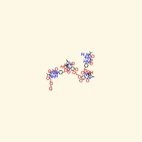 C=C1C[C@H]2[C@H](O)N(C(=O)OCc3ccc(NC(=O)[C@H](C)NC(=O)[C@@H](N)C(C)C)cc3)c3cc(OCCCOc4cc5c(cc4OC)C(=O)N4CC(=C)C[C@H]4[C@H](O)N5C(=O)OCc4ccc(NC(=O)[C@H](C)NC(=O)[C@@H](NC(=O)CCOCCOC)C(C)C)cc4)c(OC)cc3C(=O)N2C1